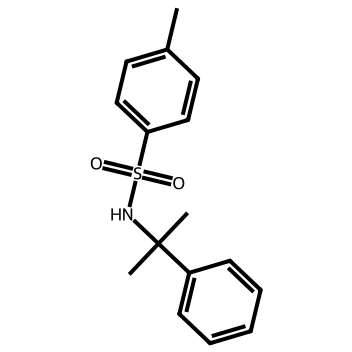 Cc1ccc(S(=O)(=O)NC(C)(C)c2ccccc2)cc1